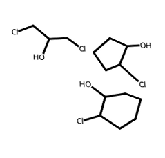 OC(CCl)CCl.OC1CCCC1Cl.OC1CCCCC1Cl